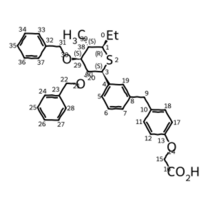 CC[C@H]1S[C@@H](c2cccc(Cc3ccc(OCC(=O)O)cc3)c2)[C@H](OCc2ccccc2)[C@@H](OCc2ccccc2)[C@@H]1C